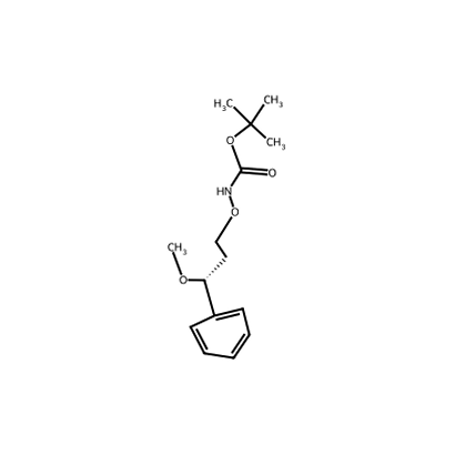 CO[C@H](CCONC(=O)OC(C)(C)C)c1ccccc1